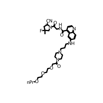 CCCOCCOCCOCC(=O)N1CCN(CCCNc2ccc3nccc(C(=O)NCC(=O)N4CC(C)(F)C[C@H]4C#N)c3c2)CC1